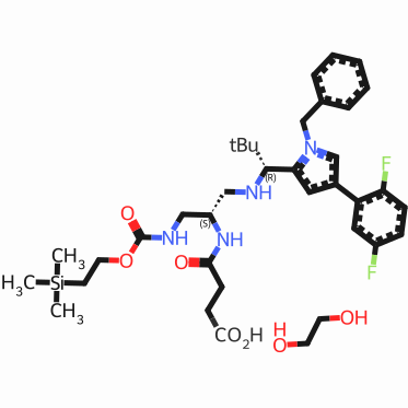 CC(C)(C)[C@@H](NC[C@@H](CNC(=O)OCC[Si](C)(C)C)NC(=O)CCC(=O)O)c1cc(-c2cc(F)ccc2F)cn1Cc1ccccc1.OCCO